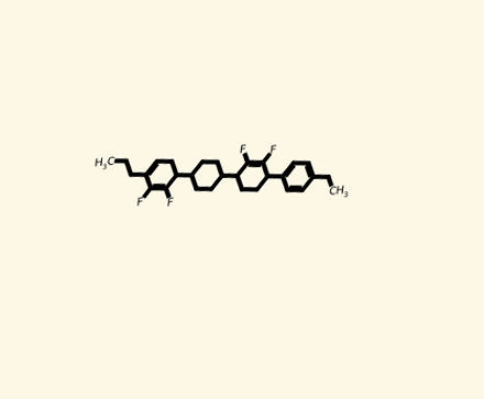 CCCC1=CCC(C2CCC(C3CCC(c4ccc(CC)cc4)C(F)=C3F)CC2)C(F)=C1F